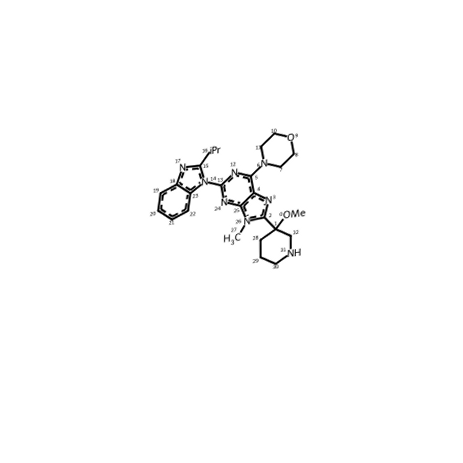 COC1(c2nc3c(N4CCOCC4)nc(-n4c(C(C)C)nc5ccccc54)nc3n2C)CCCNC1